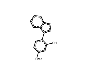 COc1ccc(-c2noc3ccccc23)c(O)c1